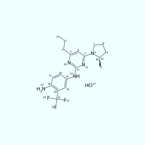 CCCc1cc(N2CCC[C@H]2C)nc(Nc2ccc(N)c(C(F)(F)F)c2)n1.Cl